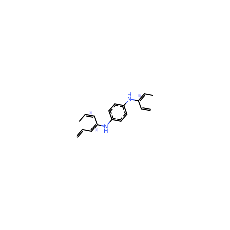 C=C/C=C(\C=C/C)Nc1ccc(N/C(C=C)=C/C)cc1